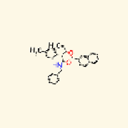 C=C[C@@H](OCc1ccc2ccccc2c1)[C@H](C(=O)NCc1ccccc1)c1ccc(C)cc1